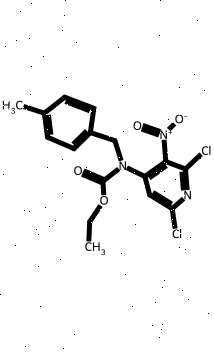 CCOC(=O)N(Cc1ccc(C)cc1)c1cc(Cl)nc(Cl)c1[N+](=O)[O-]